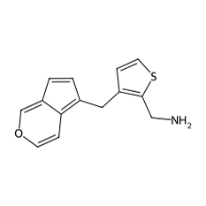 NCc1sccc1Cc1ccc2coccc1-2